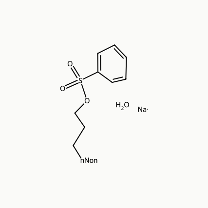 CCCCCCCCCCCCOS(=O)(=O)c1ccccc1.O.[Na]